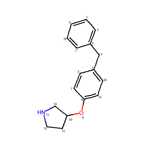 c1ccc(Cc2ccc(OC3CCNC3)cc2)cc1